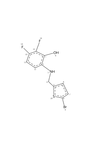 Oc1c(NCc2ccc(Br)s2)ccc(F)c1F